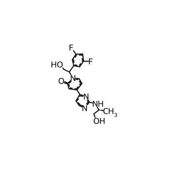 C[C@@H](CO)Nc1nccc(-c2ccn(C(CO)c3cc(F)cc(F)c3)c(=O)c2)n1